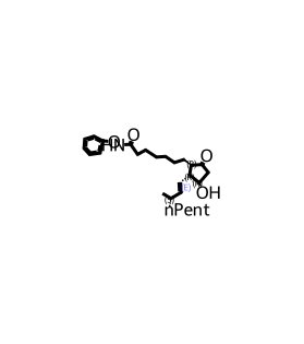 CCCCC[C@H](C)/C=C/[C@H]1[C@H](O)CC(=O)[C@@H]1CCCCCCC(=O)NOc1ccccc1